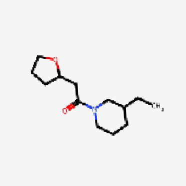 CCC1CCCN(C(=O)CC2CCCO2)C1